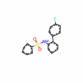 O=S(=O)(Nc1ccccc1-c1ccc(F)cc1)c1ccccc1